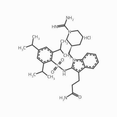 CC(C)c1cc(C(C)C)c(S(=O)(=O)Nc2c(CCC(N)=O)c3ccccc3n2C[C@@H]2CCCN(C(=N)N)C2)c(C(C)C)c1.Cl